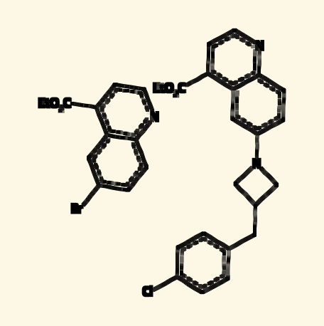 CCOC(=O)c1ccnc2ccc(Br)cc12.CCOC(=O)c1ccnc2ccc(N3CC(Cc4ccc(Cl)cc4)C3)cc12